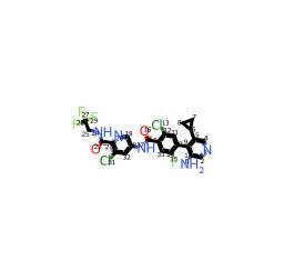 Nc1cncc(C2CC2)c1-c1cc(Cl)c(C(=O)Nc2cnc(C(=O)NCC(F)(F)F)c(Cl)c2)cc1F